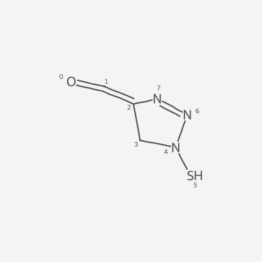 O=C=C1CN(S)N=N1